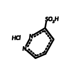 Cl.O=S(=O)(O)c1cccnn1